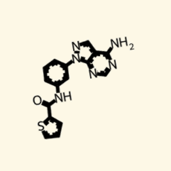 Nc1ncnc2c1cnn2-c1cccc(NC(=O)c2cccs2)c1